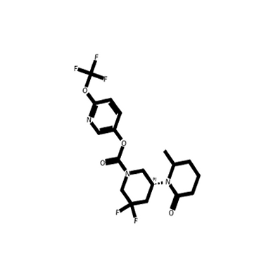 CC1CCCC(=O)N1[C@H]1CN(C(=O)Oc2ccc(OC(F)(F)F)nc2)CC(F)(F)C1